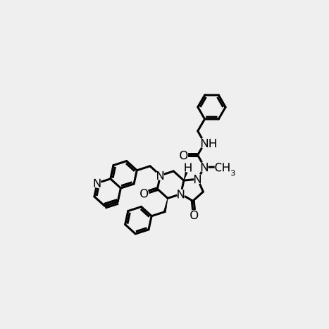 CN(C(=O)NCc1ccccc1)N1CC(=O)N2[C@@H](Cc3ccccc3)C(=O)N(Cc3ccc4ncc#cc4c3)C[C@@H]21